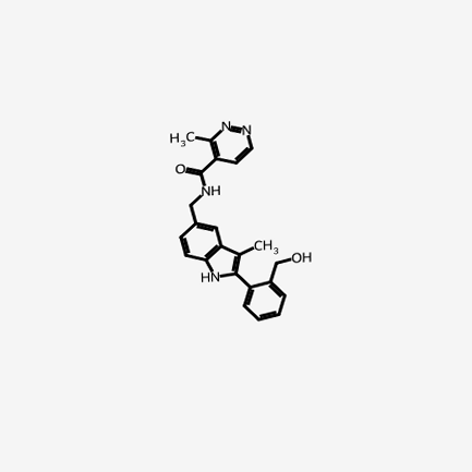 Cc1nnccc1C(=O)NCc1ccc2[nH]c(-c3ccccc3CO)c(C)c2c1